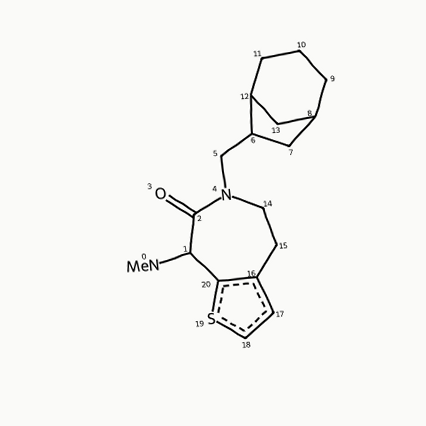 CNC1C(=O)N(CC2CC3CCCC2C3)CCc2ccsc21